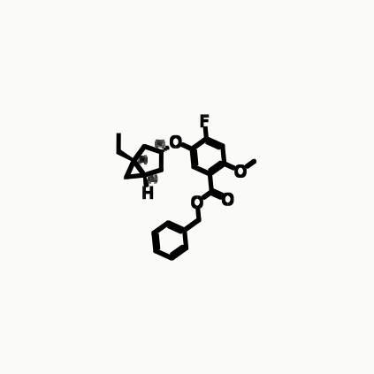 CC[C@@]12C[C@H](Oc3cc(C(=O)OCc4ccccc4)c(OC)cc3F)C[C@@H]1C2